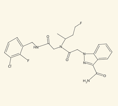 CC(CCF)N(CC(=O)NCc1cccc(Cl)c1F)C(=O)Cn1nc(C(N)=O)c2ccccc21